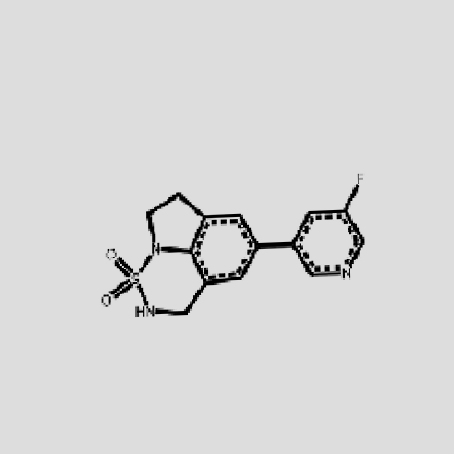 O=S1(=O)NCc2cc(-c3cncc(F)c3)cc3c2N1CC3